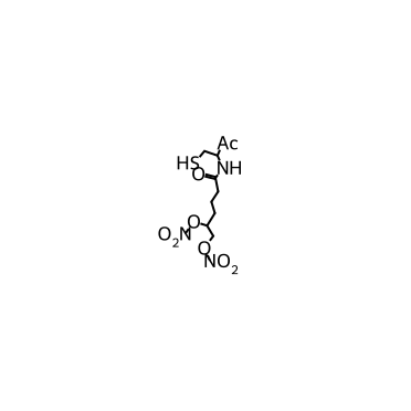 CC(=O)C(CS)NC(=O)CCCC(CO[N+](=O)[O-])O[N+](=O)[O-]